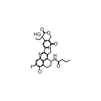 CCCC(=O)N[C@H]1CCc2c(Cl)c(F)cc3nc4c(c1c23)Cn1c-4cc2c(c1=O)COC(=O)[C@]2(O)CC